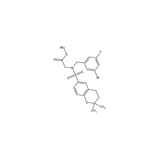 CC(C)(C)OC(=O)CN(Cc1cc(F)cc(Br)c1)S(=O)(=O)c1ccc2c(c1)CCC(C)(C)O2